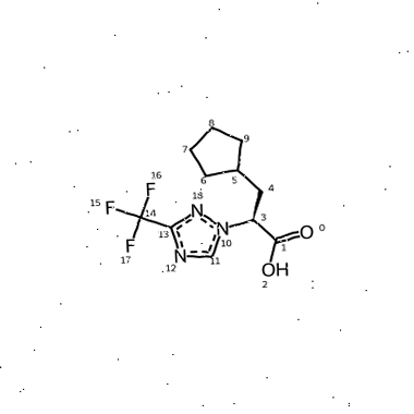 O=C(O)[C@H](CC1CCCC1)n1cnc(C(F)(F)F)n1